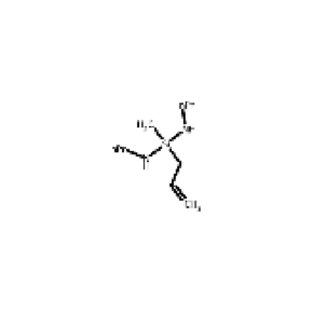 C=CC[Si](C)(NCCC)NCCC